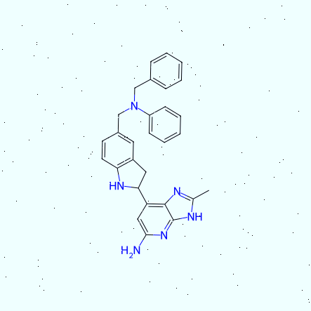 Cc1nc2c(C3Cc4cc(CN(Cc5ccccc5)c5ccccc5)ccc4N3)cc(N)nc2[nH]1